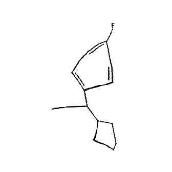 CC(c1ccc(F)cc1)C1CCC1